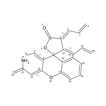 C=C/C=C1/C(=O)OC2(C(=C/C)/C(=C\C(=C)N)Oc3ccccc32)/C1=C/C=C